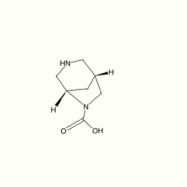 O=C(O)N1C[C@H]2CNC[C@@H]1C2